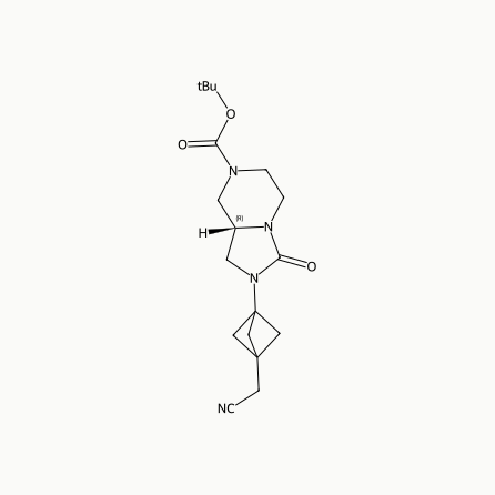 CC(C)(C)OC(=O)N1CCN2C(=O)N(C34CC(CC#N)(C3)C4)C[C@@H]2C1